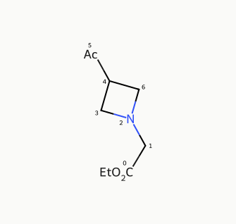 CCOC(=O)CN1CC(C(C)=O)C1